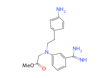 COC(=O)CN(CCc1ccc(N)cc1)c1cccc(C(=N)N)c1